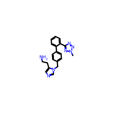 Cn1nnc(-c2ccccc2-c2ccc(Cn3cncc3CCN)cc2)n1